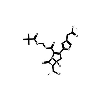 C[C@@H](O)[C@H]1C(=O)N2C(C(=O)OCOC(=O)C(C)(C)C)=C(c3cc(CC(N)=O)cs3)C[C@H]12